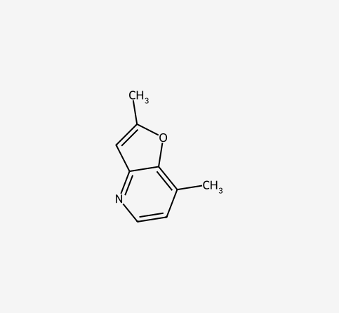 Cc1cc2nccc(C)c2o1